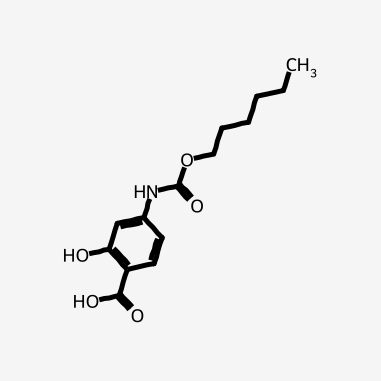 CCCCCCOC(=O)Nc1ccc(C(=O)O)c(O)c1